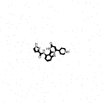 O=C(Nc1cccc2nn3c(C4CCNCC4)cc(=O)[nH]c3c12)c1cc[nH]n1